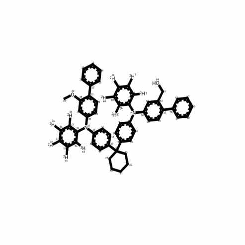 [2H]c1c([2H])c([2H])c(N(c2ccc(C3(c4ccc(N(c5ccc(-c6ccccc6)c(OC)c5)c5c([2H])c([2H])c([2H])c([2H])c5[2H])cc4)CCCCC3)cc2)c2ccc(-c3ccccc3)c(CO)c2)c([2H])c1[2H]